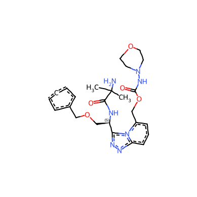 CC(C)(N)C(=O)N[C@H](COCc1ccccc1)c1nnc2cccc(COC(=O)NN3CCOCC3)n12